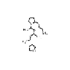 C1CCNC1.CCCCC1CCCN1C(C)OC(C)OCC